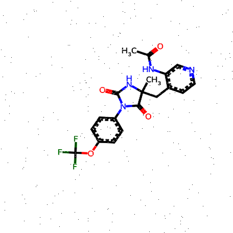 CC(=O)Nc1cnccc1CC1(C)NC(=O)N(c2ccc(OC(F)(F)F)cc2)C1=O